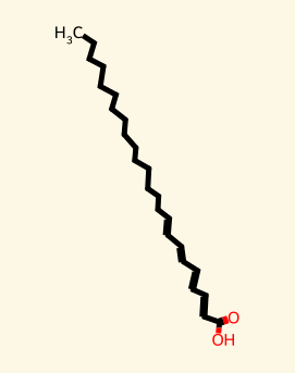 CCCCCCCCCCCCCCC/C=C/C=C/C=C/C=C/C(=O)O